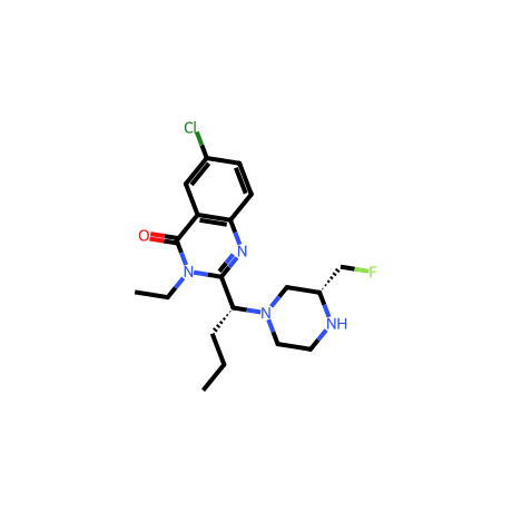 CCC[C@H](c1nc2ccc(Cl)cc2c(=O)n1CC)N1CCN[C@@H](CF)C1